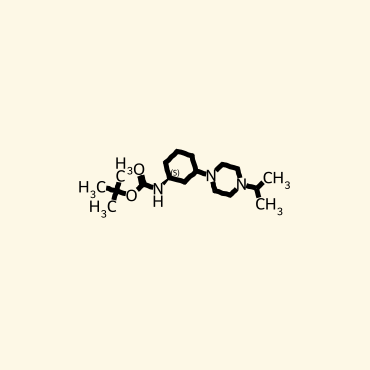 CC(C)N1CCN(C2CCC[C@H](NC(=O)OC(C)(C)C)C2)CC1